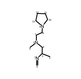 C=NC(C)CN(C)CCN1CCCC1